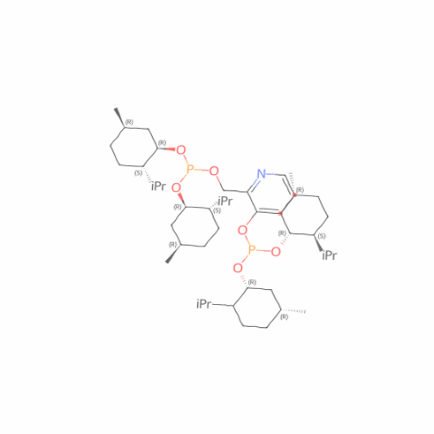 CC(C)C1CC[C@@H](C)C[C@H]1OP(Oc1cccnc1COP(O[C@@H]1C[C@H](C)CC[C@H]1C(C)C)O[C@@H]1C[C@H](C)CC[C@H]1C(C)C)O[C@@H]1C[C@H](C)CC[C@H]1C(C)C